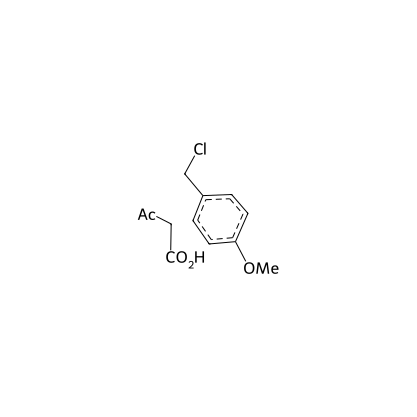 CC(=O)CC(=O)O.COc1ccc(CCl)cc1